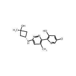 Cc1cc(N[C@H]2C[C@@](C)(O)C2)nnc1-c1ncc(Cl)cc1O